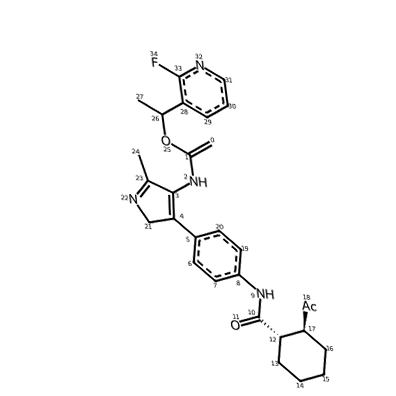 C=C(NC1=C(c2ccc(NC(=O)[C@H]3CCCC[C@@H]3C(C)=O)cc2)CN=C1C)OC(C)c1cccnc1F